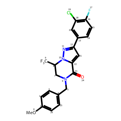 COc1ccc(CN2CC(C(F)(F)F)n3nc(-c4ccc(F)c(Cl)c4)cc3C2=O)cc1